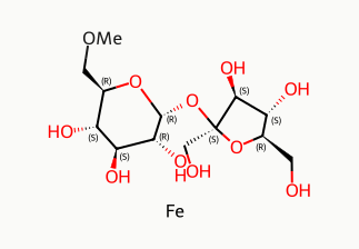 COC[C@H]1O[C@H](O[C@]2(CO)O[C@H](CO)[C@@H](O)[C@@H]2O)[C@H](O)[C@@H](O)[C@@H]1O.[Fe]